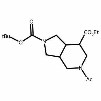 CCOC(=O)C1CN(C(C)=O)CC2CN(C(=O)OC(C)(C)C)CC21